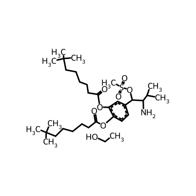 CC(C)C(N)C(OS(C)(=O)=O)c1ccc(OC(=O)CCCCCC(C)(C)C)c(OC(=O)CCCCCC(C)(C)C)c1.CCO